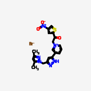 Cc1cc(C)n(Cc2cc(-c3ccc[n+](CC(=O)c4cc([N+](=O)[O-])cs4)c3)[nH]n2)n1.[Br-]